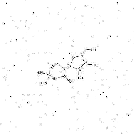 NC1(N)C=CN([C@@H]2O[C@H](CO)[C@@H](O)[C@@H]2O)C(=O)N1